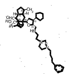 CC(C)C1=CC2CC3(C=O)[C@@H]4CC[C@@H](C)[C@H]4CC2([C@H]2C[C@@H](C4CCCCC4)[C@H](CNCCN4CCN(CCCCc5ccccc5)CC4)O2)[C@]13C(=O)O